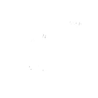 C[C@H]1Oc2cc(C(=O)N3CCCCC3)ccc2N1c1ccc(C(=O)O)cc1